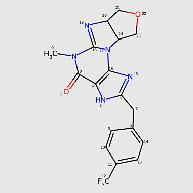 CN1C(=O)c2[nH]c(Cc3ccc(C(F)(F)F)cc3)nc2N2C1=NC1COCC12